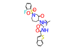 CC(C)C[C@H](NC(=O)c1cc2ccccc2s1)C(=O)NC1CCCN(S(=O)(=O)c2ccccc2F)CC1=O